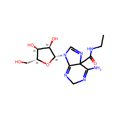 CCNC(=O)C12N=CN([C@@H]3O[C@H](CO)[C@@H](O)[C@H]3O)C1=NCN=C2N